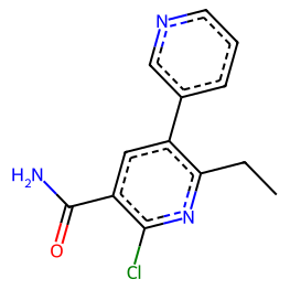 CCc1nc(Cl)c(C(N)=O)cc1-c1cccnc1